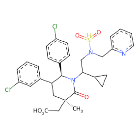 C[C@]1(CC(=O)O)CC(c2cccc(Cl)c2)[C@@H](c2ccc(Cl)cc2)N(C(CN(Cc2ccccn2)[SH](=O)=O)C2CC2)C1=O